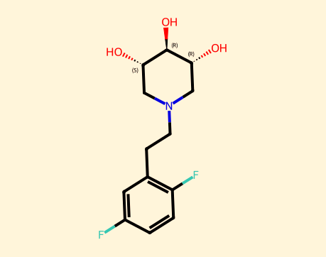 O[C@H]1[C@H](O)CN(CCc2cc(F)ccc2F)C[C@@H]1O